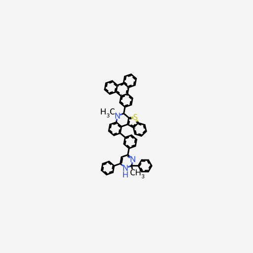 CN1c2cccc(-c3cccc(C4=NC(C)(c5ccccc5)NC(c5ccccc5)=C4)c3)c2-c2c(sc3ccccc23)C1c1ccc2c3ccccc3c3ccccc3c2c1